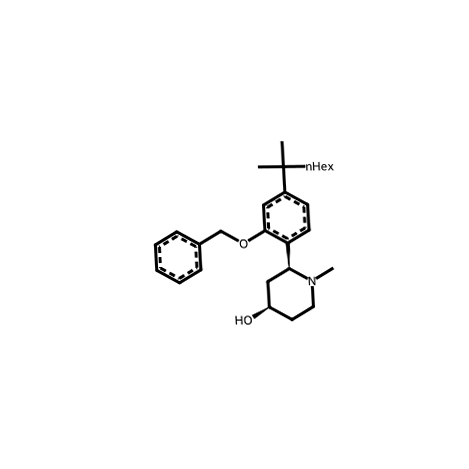 CCCCCCC(C)(C)c1ccc([C@@H]2C[C@H](O)CCN2C)c(OCc2ccccc2)c1